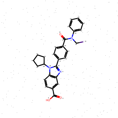 O=C(O)c1ccc2c(c1)nc(-c1ccc(C(=O)N(CI)c3ccccc3)cc1)n2C1CCCC1